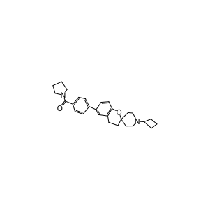 O=C(c1ccc(-c2ccc3c(c2)CCC2(CCN(C4CCC4)CC2)O3)cc1)N1CCCC1